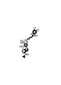 CN(CCCCc1nc2cc(Cl)c(Cl)cc2[nH]1)C[C@H]1C[C@@H](n2ccc3c(NC4CC4)ncnc32)[C@H](O)[C@@H]1O